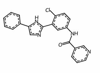 O=C(Nc1ccc(Cl)c(-c2ncc(-c3ccccc3)[nH]2)c1)c1cccnc1